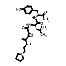 CC(C)C[C@H](NC(=O)C1OC1C(=O)NCCN1CCCC1)C(=O)N[C@@H](Cc1ccc(O)cc1)C(N)=O